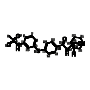 CS(=O)(=O)Nc1cccc(Sc2ccc(C(=O)N[C@H]3CN4CCC3CC4)cc2)c1